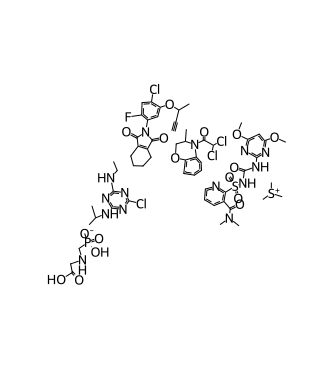 C#CC(C)Oc1cc(N2C(=O)C3=C(CCCC3)C2=O)c(F)cc1Cl.CC1COc2ccccc2N1C(=O)C(Cl)Cl.CCNc1nc(Cl)nc(NC(C)C)n1.COc1cc(OC)nc(NC(=O)NS(=O)(=O)c2ncccc2C(=O)N(C)C)n1.C[S+](C)C.O=C(O)CNCP(=O)([O-])O